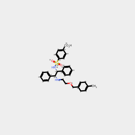 CC1=CCC(COCCN[C@H](c2ccccc2)[C@H](NS(=O)(=O)c2ccc(C(=O)O)cc2)c2ccccc2)=CC1